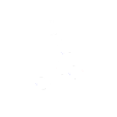 O=C(Cc1ccncc1)N1CCOCC12CCN(CCc1ccccc1)CC2